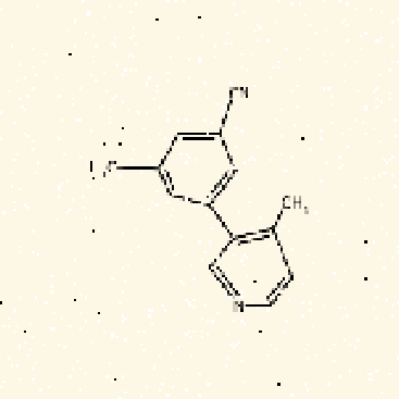 Cc1cc(C#N)cc(-c2cnccc2C)c1